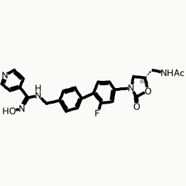 CC(=O)NC[C@H]1CN(c2ccc(-c3ccc(CNC(=NO)c4ccncc4)cc3)c(F)c2)C(=O)O1